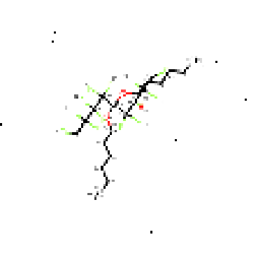 CCCCCC[O][Sn]([O]CCCCCC)([C](F)(F)C(F)(F)C(F)(F)CF)[C](F)(F)C(F)(F)C(F)(F)CF